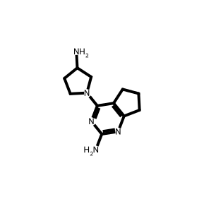 Nc1nc2c(c(N3CCC(N)C3)n1)CCC2